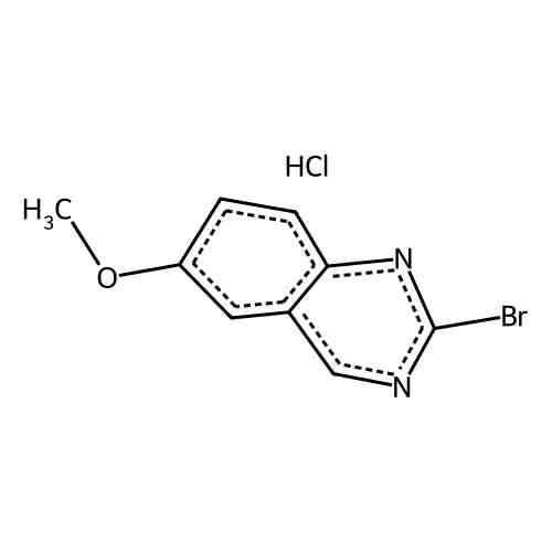 COc1ccc2nc(Br)ncc2c1.Cl